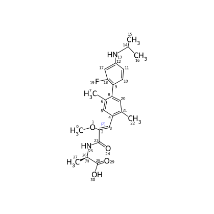 CO/C(=C\c1cc(C)c(-c2ccc(NC(C)C)cc2F)cc1C)C(=O)N[C@H](C)C(=O)O